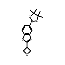 CC1(C)OB(c2ccc3sc(C4COC4)nc3c2)OC1(C)C